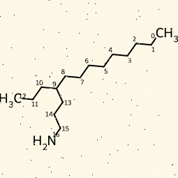 CCCCCCCCCC(CCC)CCCN